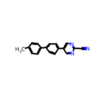 Cc1ccc(-c2ccc(-c3cnc(C#N)nc3)cc2)cc1